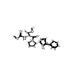 COC(=O)N[C@H](C(=O)N1CCC[C@H]1c1ncc(-c2ccccc2)[nH]1)[C@@H](C)OC